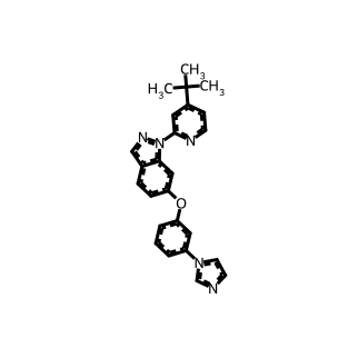 CC(C)(C)c1ccnc(-n2ncc3ccc(Oc4cccc(-n5ccnc5)c4)cc32)c1